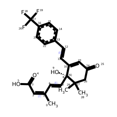 CC(=C/C(=O)O)/C=C/[C@@]1(O)C(/C=C/c2ccc(C(F)(F)F)cc2)=CC(=O)CC1(C)C